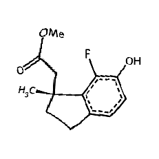 COC(=O)C[C@@]1(C)CCc2ccc(O)c(F)c21